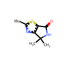 CC(C)(C)c1nc2c(s1)C(=O)NC2(C)C